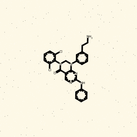 NCCc1cccc(N2CN(c3c(Cl)cccc3Cl)C(=O)c3cnc(Nc4ccccc4)nc32)c1